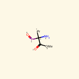 COC(=O)C(N)(P=O)C(C)C